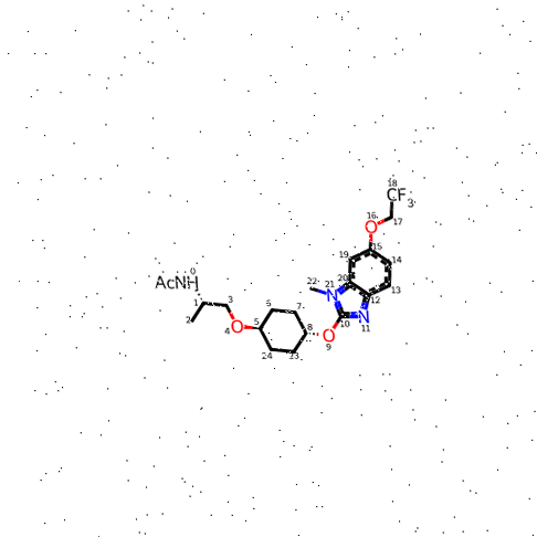 CC(=O)N[C@@H](C)CO[C@H]1CC[C@H](Oc2nc3ccc(OCC(F)(F)F)cc3n2C)CC1